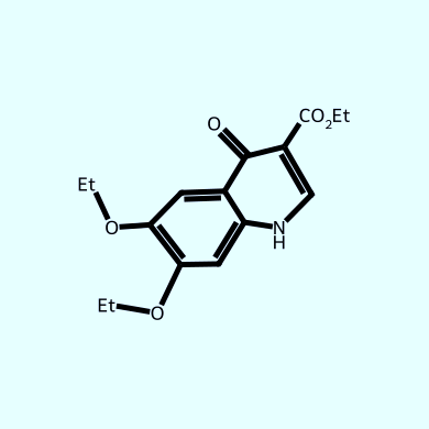 CCOC(=O)c1c[nH]c2cc(OCC)c(OCC)cc2c1=O